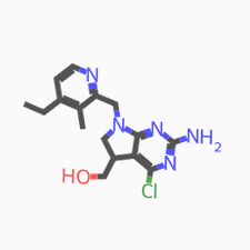 CCc1ccnc(CN2CC(CO)c3c(Cl)nc(N)nc32)c1C